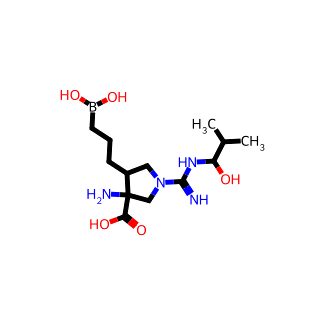 CC(C)C(O)NC(=N)N1CC(CCCB(O)O)C(N)(C(=O)O)C1